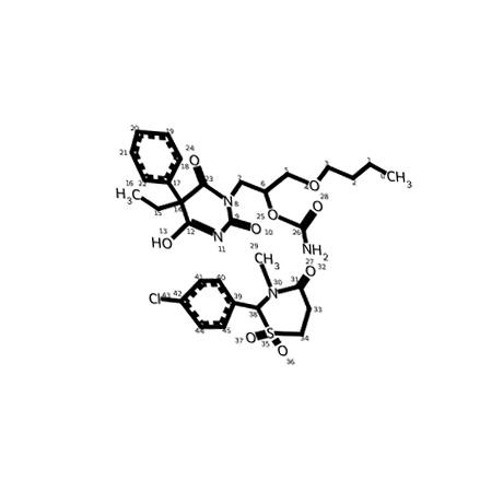 CCCCOCC(CN1C(=O)N=C(O)C(CC)(c2ccccc2)C1=O)OC(N)=O.CN1C(=O)CCS(=O)(=O)C1c1ccc(Cl)cc1